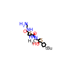 C/C(=N\NC(=O)c1ccc(C(=O)NCCN)s1)c1csc(C2CCC(C(C)(C)C)CC2)c1O